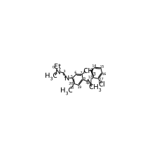 CCN(C)C=Nc1cc(C)c(N(C)c2ccccc2Cl)cc1C